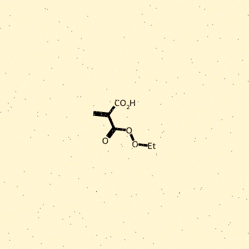 C=C(C(=O)O)C(=O)OOCC